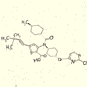 CC(C)(C)C#Cc1cc(N(C(=O)[C@H]2CC[C@H](C)CC2)[C@H]2CC[C@H](Oc3ccnc(Cl)n3)CC2)c(C(=O)O)s1